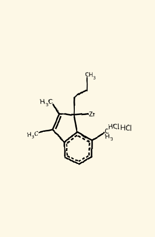 CCC[C]1([Zr])C(C)=C(C)c2cccc(C)c21.Cl.Cl